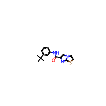 CC(C)(C)c1cccc(NC(=O)c2cn3ccsc3n2)c1